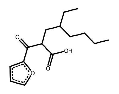 CCCCC(CC)CC(C(=O)O)C(=O)c1ccco1